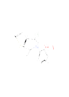 CC1c2sccc2C(Cl)=CN1c1ccccc1O